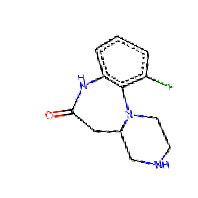 O=C1CC2CNCCN2c2c(F)cccc2N1